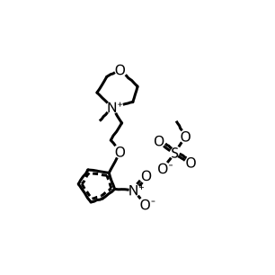 COS(=O)(=O)[O-].C[N+]1(CCOc2ccccc2[N+](=O)[O-])CCOCC1